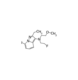 CCc1nn2c(I)cccc2c1N(CCF)CCOC